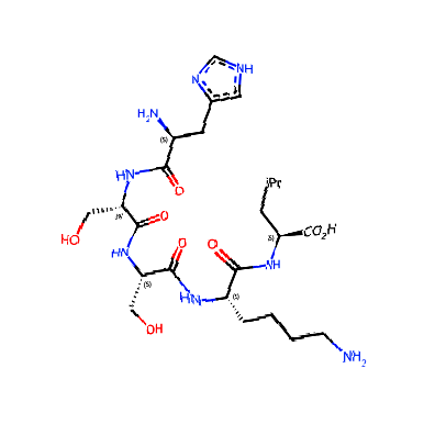 CC(C)C[C@H](NC(=O)[C@H](CCCCN)NC(=O)[C@H](CO)NC(=O)[C@H](CO)NC(=O)[C@@H](N)Cc1c[nH]cn1)C(=O)O